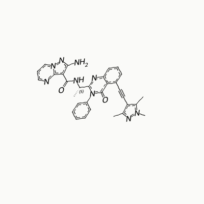 Cc1nn(C)c(C)c1C#Cc1cccc2nc([C@H](C)NC(=O)c3c(N)nn4cccnc34)n(-c3ccccc3)c(=O)c12